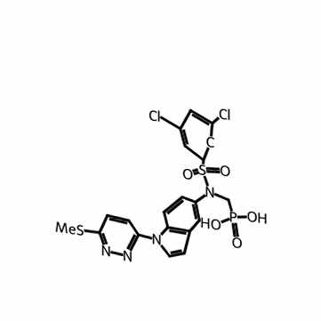 CSc1ccc(-n2ccc3cc(N(CP(=O)(O)O)S(=O)(=O)C4C=C(Cl)C=C(Cl)C4)ccc32)nn1